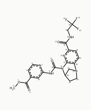 COC(=O)c1ccnc(NC(=O)N2c3nc(C(=O)NCC(F)(F)F)ccc3N3CCC2C3)c1